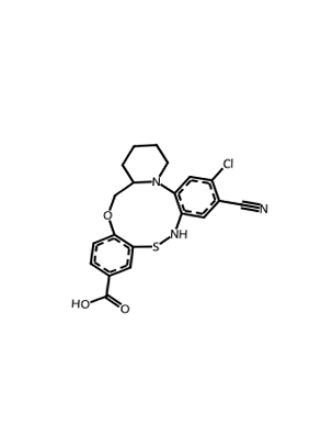 N#Cc1cc2c(cc1Cl)N1CCCCC1COc1ccc(C(=O)O)cc1SN2